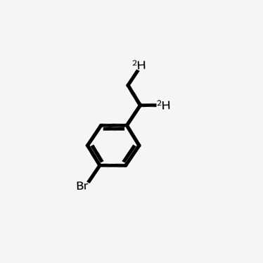 [2H]CC([2H])c1ccc(Br)cc1